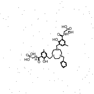 Cc1cc(CN2CCN(Cc3ccccc3)CCN(Cc3cc(C)cc(C(=O)NCP(=O)(O)O)c3O)CC2)c(O)c(C(=O)NCP(=O)(O)O)c1